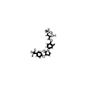 Cc1cc(N2CCC(Oc3ccc(C(F)(F)F)cc3)C2=O)ccc1OC[C@H](O)CS(C)(=O)=O